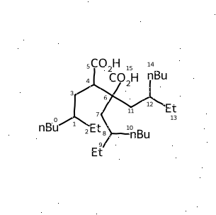 CCCCC(CC)CC(C(=O)O)C(CC(CC)CCCC)(CC(CC)CCCC)C(=O)O